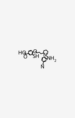 N#Cc1ccc(N2CCCCC2CCCOc2ccc(C(=O)O)cc2S)c(N)c1